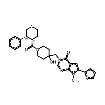 Cn1c(-c2cccs2)cc2c(=O)n(CC3(O)CCN(C(=O)[C@@H]4CCNC[C@H]4c4ccccc4)CC3)cnc21